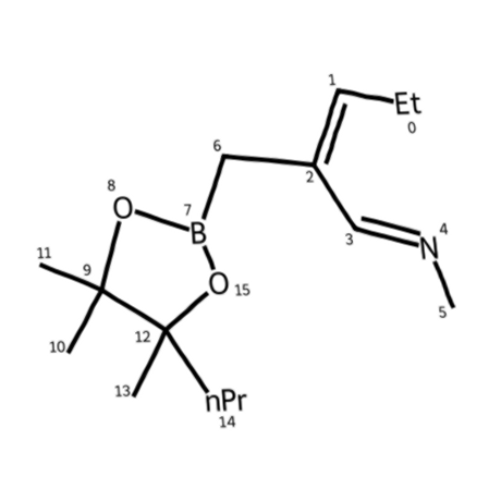 CC/C=C(\C=N\C)CB1OC(C)(C)C(C)(CCC)O1